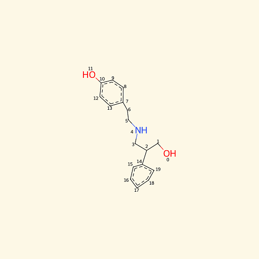 OCC(CNCCc1ccc(O)cc1)c1ccccc1